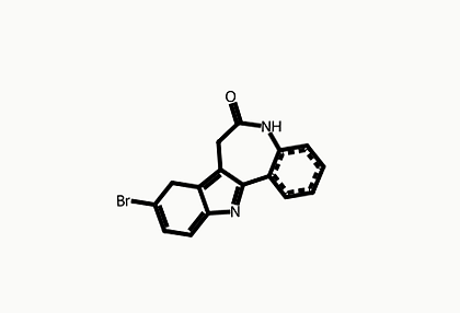 O=C1CC2=C3CC(Br)=CC=C3N=C2c2ccccc2N1